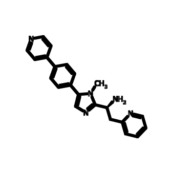 Cn1c(-c2ccc(-c3ccncc3)cc2)cnc1[C@@H](N)Cc1ccccn1